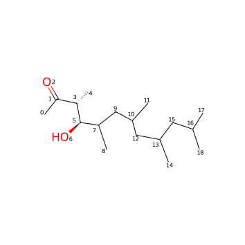 CC(=O)[C@H](C)[C@H](O)C(C)CC(C)CC(C)CC(C)C